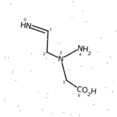 N=CCN(N)CC(=O)O